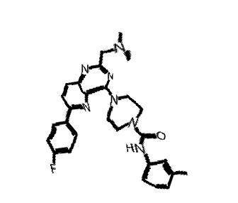 Cc1cccc(NC(=O)N2CCN(c3nc(CN(C)C)nc4ccc(-c5ccc(F)cc5)nc34)CC2)c1